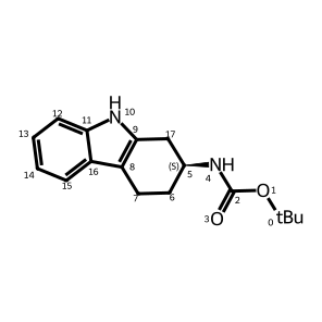 CC(C)(C)OC(=O)N[C@H]1CCc2c([nH]c3ccccc23)C1